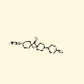 CCCCCCC1CC[C@]2(CC1)C[C@@]1(CC[C@H](C3CCC(CC)CC3)CC1)C2=O